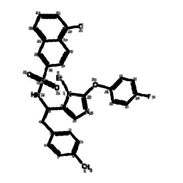 CCn1c(C(Cc2ccc(C)cc2)NS(=O)(=O)c2ccc3c(Cl)cccc3c2)cnc1Oc1ccc(F)cc1